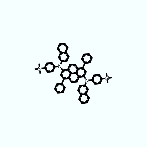 C[Si](C)(C)c1ccc(N(c2ccc3ccccc3c2)c2cc(-c3ccccc3)c3ccc4c(N(c5ccc([Si](C)(C)C)cc5)c5ccc6ccccc6c5)cc(-c5ccccc5)c5ccc2c3c54)cc1